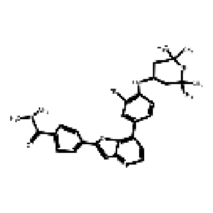 CN(C)C(=O)c1ccc(-c2cc3nccc(-c4ccc(NC5CC(C)(C)NC(C)(C)C5)c(C#N)c4)c3o2)cc1